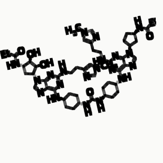 CCC(=O)N[C@@H]1CC[C@H](n2cnc3c(N[C@H]4CC[C@H](NC(=O)N[C@H]5CC[C@H](Nc6nc(NCCc7cn(C)cn7)nc7c6ncn7[C@@H]6C[C@H](NC(=O)CC)[C@@H](O)[C@H]6O)CC5)CC4)nc(NCCc4cn(C)cn4)nc32)C1